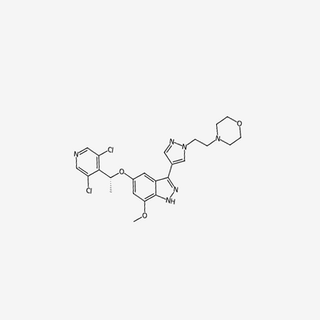 COc1cc(O[C@H](C)c2c(Cl)cncc2Cl)cc2c(-c3cnn(CCN4CCOCC4)c3)n[nH]c12